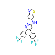 FC(F)(F)c1ccc(-c2cc(Nc3ccc4ncsc4c3)nnc2-c2ccc(C(F)(F)F)cc2)cc1